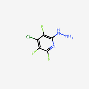 NNc1nc(F)c(F)c(Cl)c1F